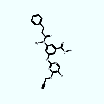 C#CCOc1nc(Nc2cc(C(=O)NC(C)C)cc(N(N)C(=O)CCc3ccccc3)c2)ncc1Br